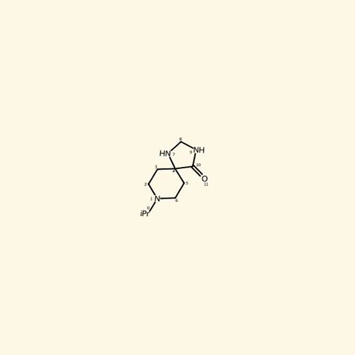 CC(C)N1CCC2(CC1)NCNC2=O